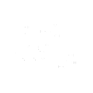 COc1ccccc1Oc1c(Cl)ncnc1NS(=O)(=O)c1ccc(C(C)(C)C)cc1.C[S+](C)[O-]